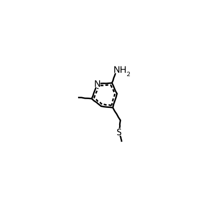 CSCc1cc(C)nc(N)c1